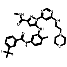 CNC(=O)c1cc(Nc2cc(NC(=O)c3cccc(C(C)(F)F)c3)ccc2C)n(-c2cc(NCCN3CCOCC3)ncn2)n1